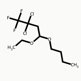 CCCCOC(CC(Cl)(Cl)C(F)(F)F)OCC